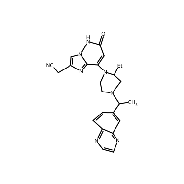 CCC1CN(C(C)c2ccc3nccnc3c2)CCN1c1cc(=O)[nH]n2cc(CC#N)nc12